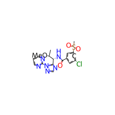 COC(C)[C@H](NC(=O)c1cc(Cl)cc(S(C)(=O)=O)c1)c1ncnn1-c1ncccn1